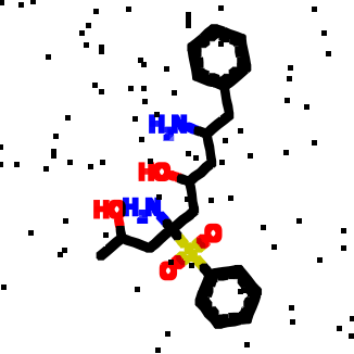 CC(O)CC(N)(CC(O)CC(N)Cc1ccccc1)S(=O)(=O)c1ccccc1